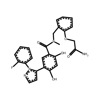 CN(Cc1ccccc1OCC(N)=O)C(=O)c1cc(-c2ccnn2-c2ccccc2F)c(O)cc1O